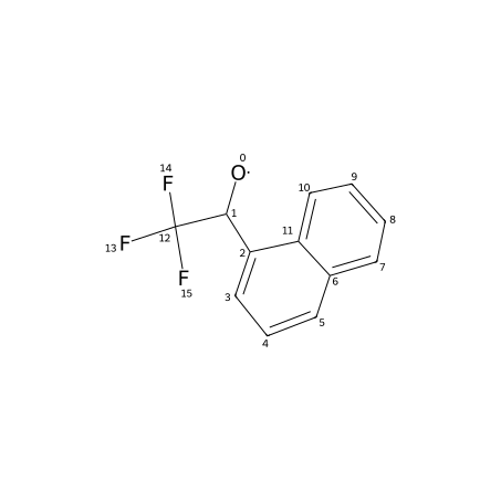 [O]C(c1cccc2ccccc12)C(F)(F)F